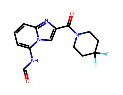 O=CNc1cccc2nc(C(=O)N3CCC(F)(F)CC3)cn12